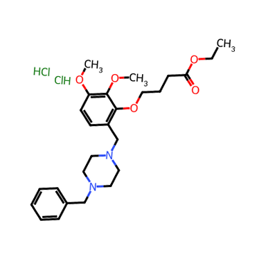 CCOC(=O)CCCOc1c(CN2CCN(Cc3ccccc3)CC2)ccc(OC)c1OC.Cl.Cl